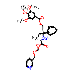 CC[C@](COC(=O)c1cc(OC)c(OC)c(OC)c1)(NCC(=O)OCOCc1cccnc1)c1ccccc1